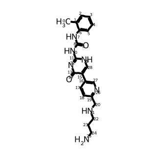 Cc1ccccc1NC(=O)Nc1nc(=O)c(-c2ccc(CNCCCN)nc2)c[nH]1